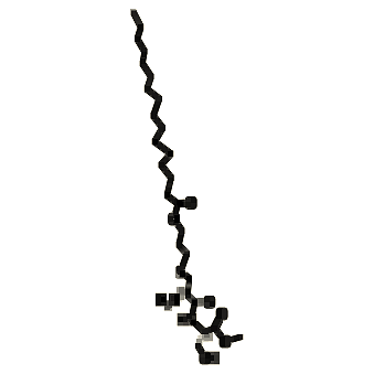 CCCCCCCCCCCCCCCC(=O)OCCCSC[C@@H](N)C(=O)N[C@@H](CO)C(=O)OC